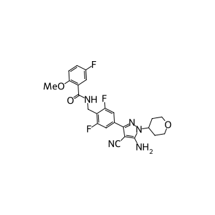 COc1ccc(F)cc1C(=O)NCc1c(F)cc(-c2nn(C3CCOCC3)c(N)c2C#N)cc1F